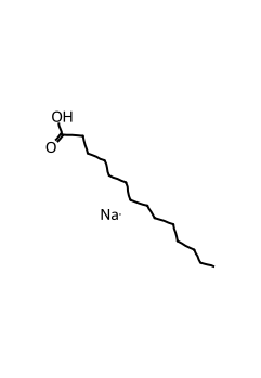 CCCCCCCCCCCCCC(=O)O.[Na]